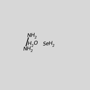 NN.O.[SeH2]